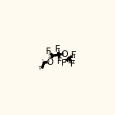 CCOC(F)C(F)(F)OC(F)(F)F